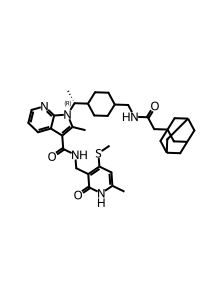 CSc1cc(C)[nH]c(=O)c1CNC(=O)c1c(C)n([C@H](C)C2CCC(CNC(=O)CC34CC5CC(CC(C5)C3)C4)CC2)c2ncccc12